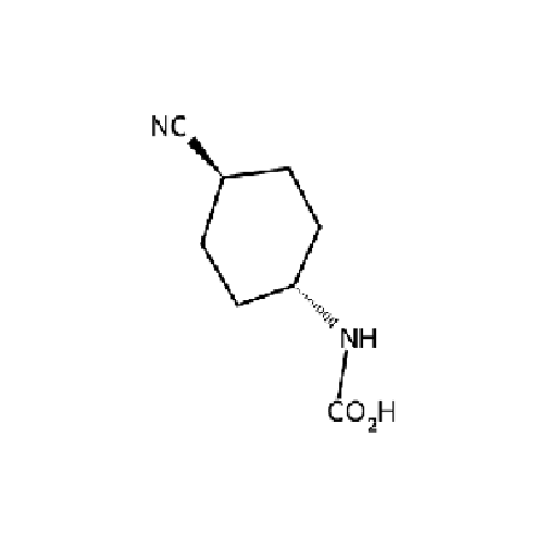 N#C[C@H]1CC[C@H](NC(=O)O)CC1